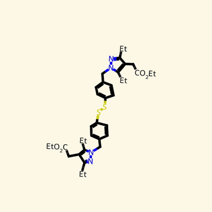 CCOC(=O)Cc1c(CC)nn(Cc2ccc(SSc3ccc(Cn4nc(CC)c(CC(=O)OCC)c4CC)cc3)cc2)c1CC